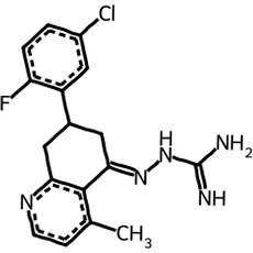 Cc1ccnc2c1C(=NNC(=N)N)CC(c1cc(Cl)ccc1F)C2